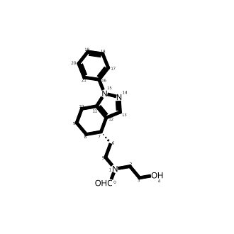 O=CN(CCO)CC[C@@H]1CCCc2c1cnn2-c1ccccc1